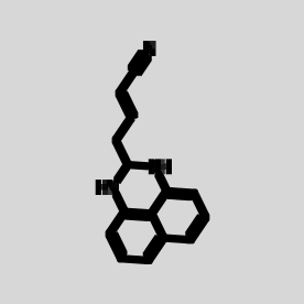 N#CC=CCC1Nc2cccc3cccc(c23)N1